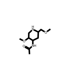 COCC1CC(NC(C)=O)C(OC)CN1